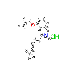 CC=C(C)COc1cccc(CN(C)CC=CC#CC(C)(C)C)c1.Cl